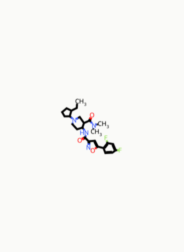 CCC1CCCC1N1CCC(NC(=O)c2cc(-c3ccc(F)cc3F)on2)C(C(=O)N(C)C)C1